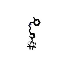 Cc1ccccc1/C=C\CCc1ccc(B2OC(C)(C)C(C)(C)O2)s1